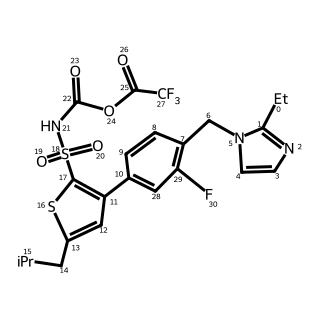 CCc1nccn1Cc1ccc(-c2cc(CC(C)C)sc2S(=O)(=O)NC(=O)OC(=O)C(F)(F)F)cc1F